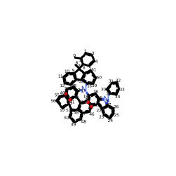 CC1C=CC=CC1C1(C)c2ccccc2-c2c(N(c3ccc4c5ccccc5n(-c5ccccc5)c4c3)c3ccccc3-c3cccc4cccc(-c5ccccc5)c34)cccc21